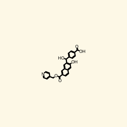 O=C(O)c1ccc(C(O)c2cc3cc(C(=O)OCc4ccncc4)ccc3cc2O)cc1